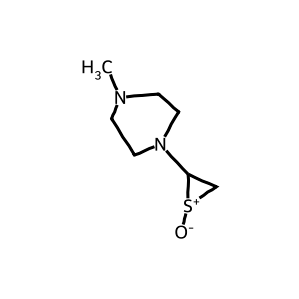 CN1CCN(C2C[S+]2[O-])CC1